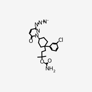 CC(C)(CCC1(c2cccc(Cl)c2)CCC(n2nc(N=[N+]=[N-])ccc2=O)CC1)OC(N)=O